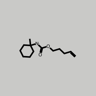 C=CCCCOC(=O)[N]C1(C)CCCCC1